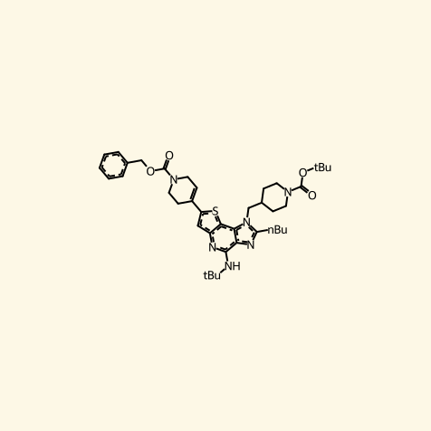 CCCCc1nc2c(NC(C)(C)C)nc3cc(C4=CCN(C(=O)OCc5ccccc5)CC4)sc3c2n1CC1CCN(C(=O)OC(C)(C)C)CC1